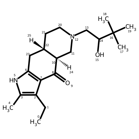 CCc1c(C)[nH]c2c1C(=O)[C@@H]1CN(CC(O)C(C)(C)C)CC[C@H]1C2